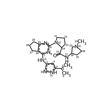 CC(C)c1cc(Nc2nc(N3CCCC3C(=O)NC3CCN(C)C3)nc3c2CCC3)n[nH]1